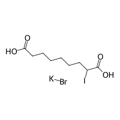 O=C(O)CCCCCCC(I)C(=O)O.[K][Br]